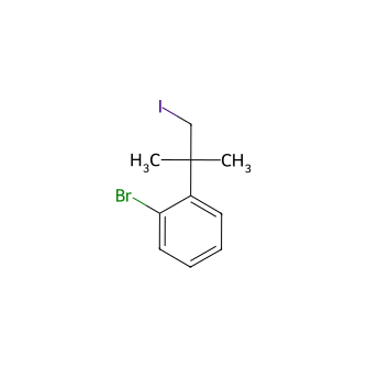 CC(C)(CI)c1ccccc1Br